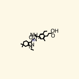 C=C(/N=C(\ON)c1nn(CC)c2c1CCC(C)(C)C2)c1cc(C)c(CCC(=O)O)c(CC)c1